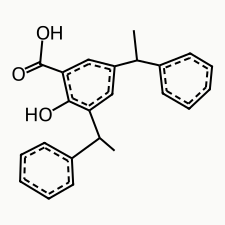 CC(c1ccccc1)c1cc(C(=O)O)c(O)c(C(C)c2ccccc2)c1